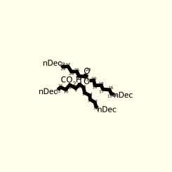 CCCCCCCCCCCCCCCCC(CCCCCCCCCCCCCC)C(=O)O.CCCCCCCCCCCCCCCCOC(=O)CCCCCCCCCCCCCCC